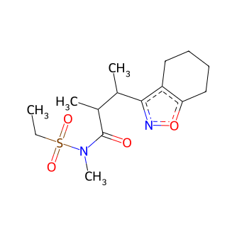 CCS(=O)(=O)N(C)C(=O)C(C)C(C)c1noc2c1CCCC2